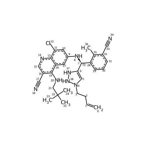 C=CCCN1C=C([C@@H](Nc2cc(Cl)c3ncc(C#N)c(NCC(C)(C)C)c3c2)c2cccc(C#N)c2C)NN1